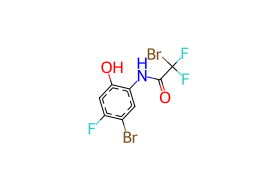 O=C(Nc1cc(Br)c(F)cc1O)C(F)(F)Br